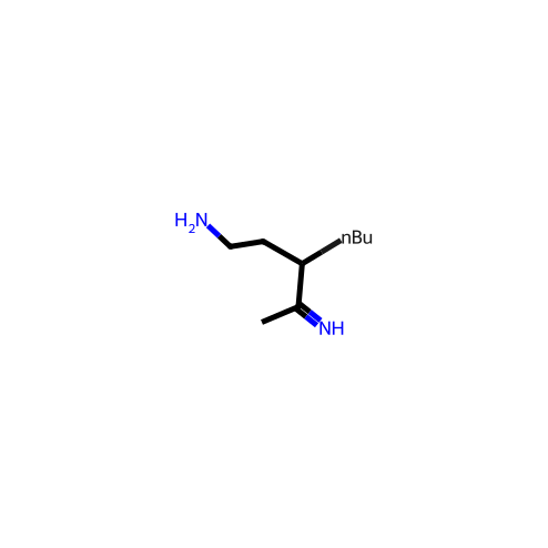 CCCCC(CCN)C(C)=N